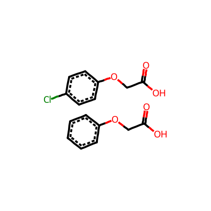 O=C(O)COc1ccc(Cl)cc1.O=C(O)COc1ccccc1